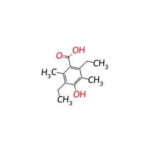 CCc1c(C)c(C(=O)O)c(CC)c(C)c1O